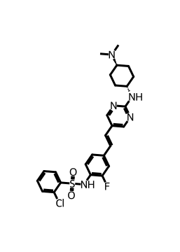 CN(C)[C@H]1CC[C@H](Nc2ncc(/C=C/c3ccc(NS(=O)(=O)c4ccccc4Cl)c(F)c3)cn2)CC1